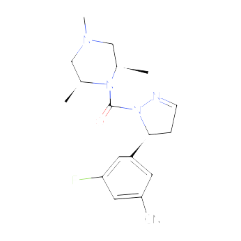 C[C@@H]1CN(C)C[C@H](C)N1C(=O)N1N=CC[C@H]1c1cc(F)cc(C#N)c1